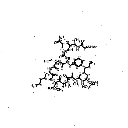 CC(=O)NCC(=O)N[C@@H](C)C(=O)N[C@@H](CCC(N)=O)C(=O)N[C@@H](Cc1ccccc1)C(=O)N[C@@H](CO)C(=O)N[C@@H](CCCCN)C(=O)N[C@H](C(=O)N[C@@H](C)C(=O)N[C@@H](C)C(=O)N[C@@H](CCCCN)C(=O)O)[C@@H](C)O.CC(=O)O